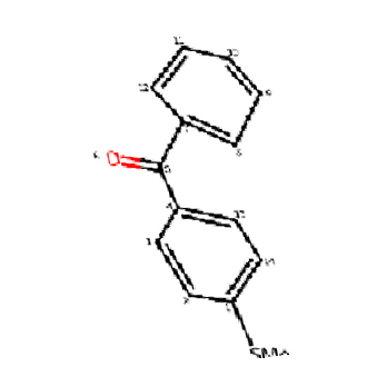 CSc1ccc(C(=O)c2ccccc2)cc1